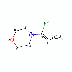 C/C=C(\F)N1CCOCC1